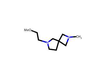 COCCN1CCC2(CN(C)C2)C1